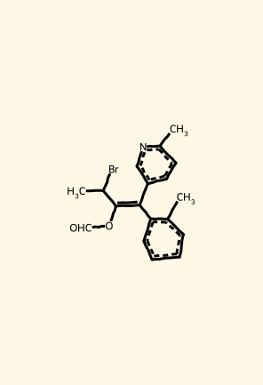 Cc1ccc(/C(=C(/OC=O)C(C)Br)c2ccccc2C)cn1